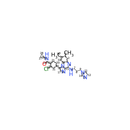 Cc1cc2nc(NCCCn3ccnc3)c3ncc(-c4ccc(C(=O)NC5CC5)c(Cl)c4)n3c2cc1C